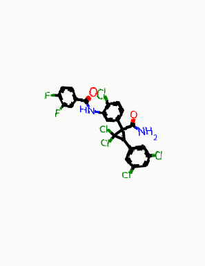 NC(=O)C1(c2ccc(Cl)c(NC(=O)c3ccc(F)c(F)c3)c2)C(c2cc(Cl)cc(Cl)c2)C1(Cl)Cl